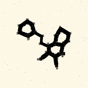 O=c1[nH]c2ccccc2n(CCc2ccccn2)c1=O